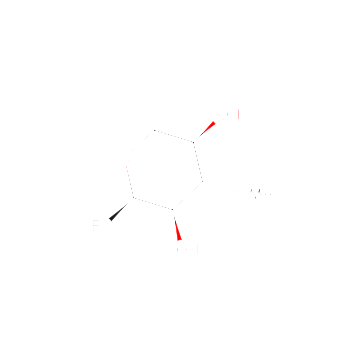 CC[C@H]1OC[C@@H](O)[C@H](OC)[C@H]1O